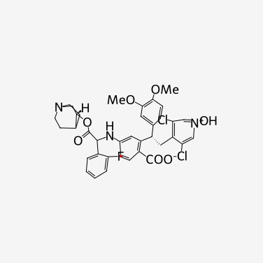 COc1ccc([C@H](Cc2c(Cl)c[n+](O)cc2Cl)c2cc(NC(C(=O)O[C@H]3CN4CCC3CC4)c3ccccc3F)ccc2C(=O)[O-])cc1OC